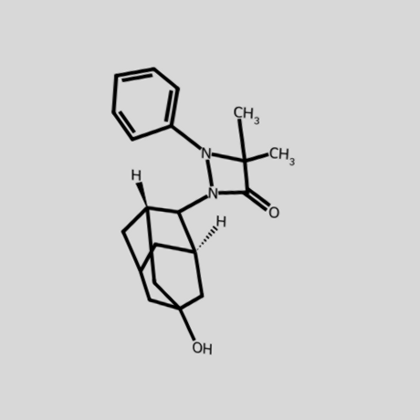 CC1(C)C(=O)N(C2[C@@H]3CC4C[C@H]2CC(O)(C4)C3)N1c1ccccc1